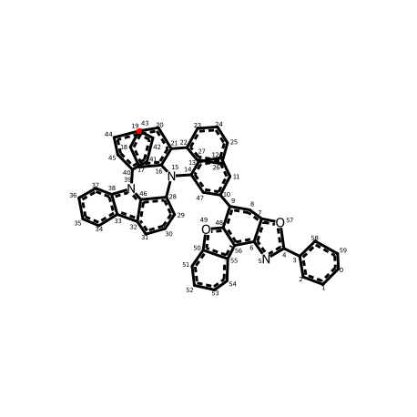 c1ccc(-c2nc3c(cc(-c4cccc(N(c5ccccc5-c5ccccc5)c5cccc6c7ccccc7n(-c7ccccc7)c56)c4)c4oc5ccccc5c43)o2)cc1